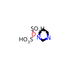 O=S(=O)(O)OS(=O)(=O)O.c1cncnc1